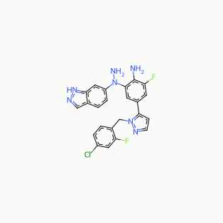 Nc1c(F)cc(-c2ccnn2Cc2ccc(Cl)cc2F)cc1N(N)c1ccc2cn[nH]c2c1